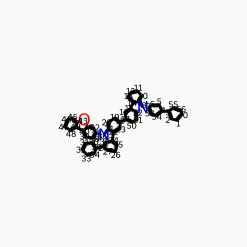 c1ccc(-c2ccc(-n3c4ccccc4c4cc(-c5ccc6c(c5)c5cccc(-c7ccccc7)c5n6-c5ccc6c(c5)oc5ccccc56)ccc43)cc2)cc1